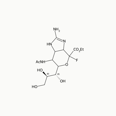 CCOC(=O)C1(F)OC([C@H](O)[C@H](O)CO)C(NC(C)=O)C2NC(N)=NC21